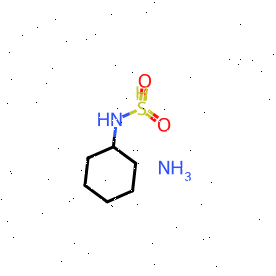 N.O=[SH](=O)NC1CCCCC1